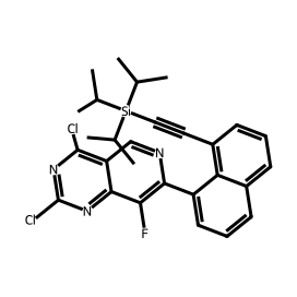 CC(C)[Si](C#Cc1cccc2cccc(-c3ncc4c(Cl)nc(Cl)nc4c3F)c12)(C(C)C)C(C)C